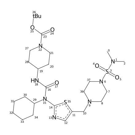 CN(C)S(=O)(=O)N1CCN(Cc2cnc(N(C(=O)NC3CCN(C(=O)OC(C)(C)C)CC3)C3CCCCC3)s2)CC1